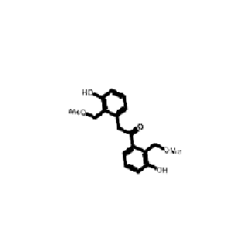 COCc1c(O)cccc1CC(=O)c1cccc(O)c1COC